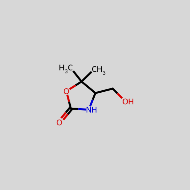 CC1(C)OC(=O)NC1CO